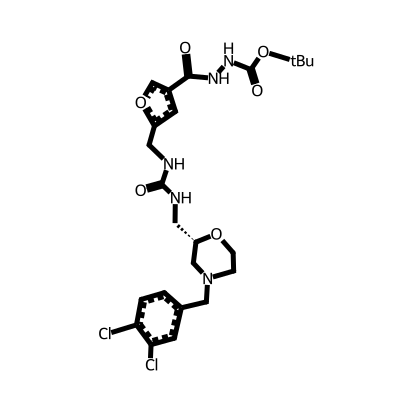 CC(C)(C)OC(=O)NNC(=O)c1coc(CNC(=O)NC[C@H]2CN(Cc3ccc(Cl)c(Cl)c3)CCO2)c1